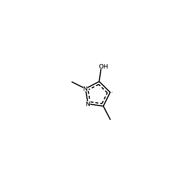 Cc1[c]c(O)n(C)n1